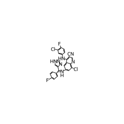 N#Cc1cnc2c(Cl)cc(N[C@@H](c3ccc(F)cc3)c3c[nH]nn3)cc2c1Nc1ccc(F)c(Cl)c1